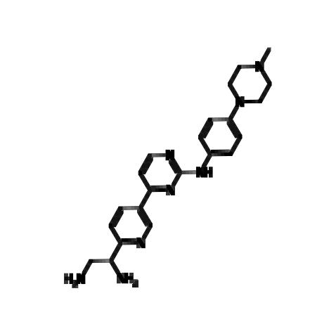 CN1CCN(c2ccc(Nc3nccc(-c4ccc(C(N)CN)nc4)n3)cc2)CC1